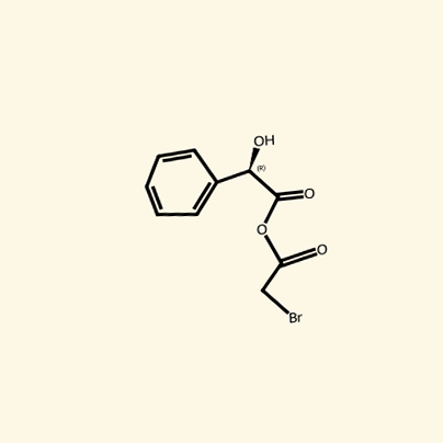 O=C(CBr)OC(=O)[C@H](O)c1ccccc1